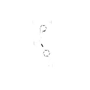 CCCc1ccc(C#CCCC[n+]2ccc(C)c(C)c2)cc1.[Br-]